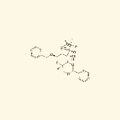 CC(=O)O[C@H]1[C@H](OCc2ccccc2)O[C@@H]2COC(c3ccccc3)O[C@@H]2[C@@]1(O)S(=O)(=O)C(F)(F)F